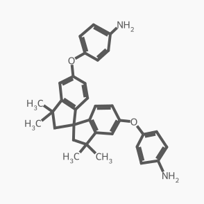 CC1(C)CC2(CC(C)(C)c3cc(Oc4ccc(N)cc4)ccc32)c2ccc(Oc3ccc(N)cc3)cc21